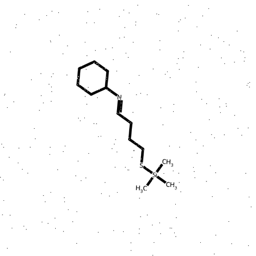 C[Si](C)(C)SCCCC=NC1CCCCC1